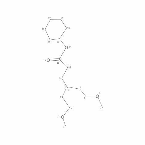 COCCN(CCOC)CCC(=O)OC1CCCCC1